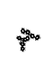 c1ccc(-c2ccc(N(c3cccc(-c4ccccc4)c3)c3ccc4cc5c(cc4c3)c3ccccc3n5-c3ccc(-c4ccccc4)cc3)cc2)cc1